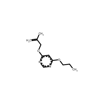 C=C(C)COc1cc(OCCC)ncn1